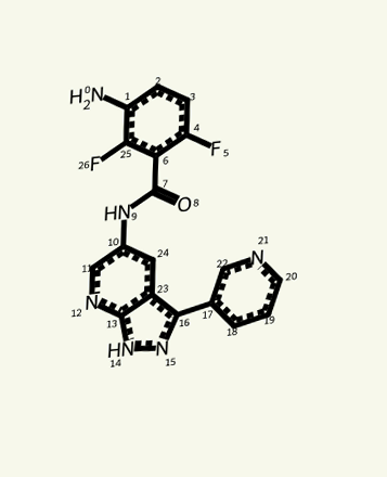 Nc1ccc(F)c(C(=O)Nc2cnc3[nH]nc(-c4cccnc4)c3c2)c1F